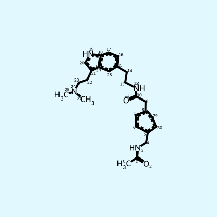 CC(=O)NCc1ccc(CC(=O)NCCc2ccc3[nH]cc(CCN(C)C)c3c2)cc1